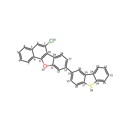 Clc1cc2ccccc2c2oc3cc(-c4ccc5sc6ccccc6c5c4)ccc3c12